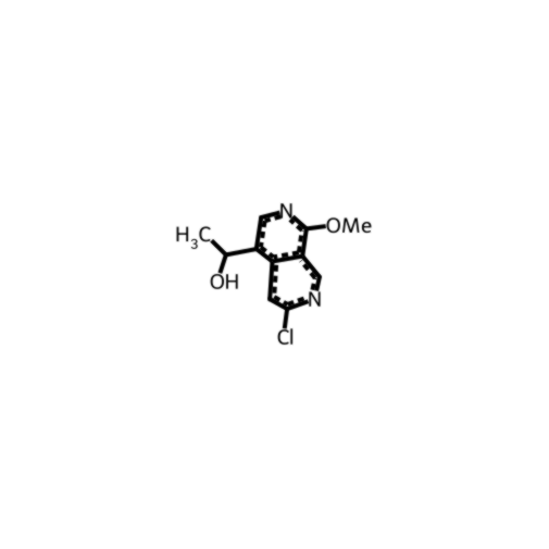 COc1ncc(C(C)O)c2cc(Cl)ncc12